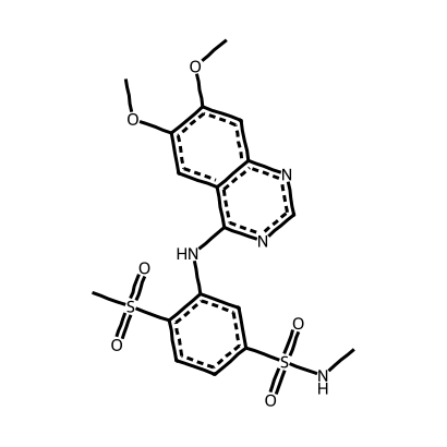 CNS(=O)(=O)c1ccc(S(C)(=O)=O)c(Nc2ncnc3cc(OC)c(OC)cc23)c1